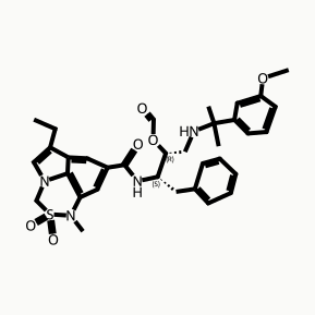 CCc1cn2c3c(cc(C(=O)N[C@@H](Cc4ccccc4)[C@@H](CNC(C)(C)c4cccc(OC)c4)OC=O)cc13)N(C)S(=O)(=O)C2